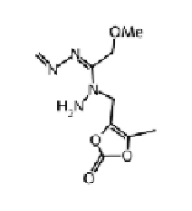 C=N/N=C(/COC)N(N)Cc1oc(=O)oc1C